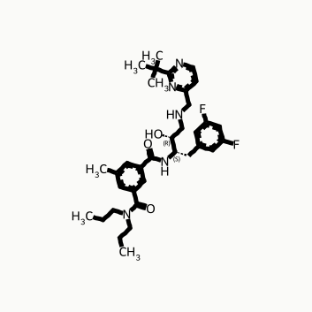 CCCN(CCC)C(=O)c1cc(C)cc(C(=O)N[C@@H](Cc2cc(F)cc(F)c2)[C@H](O)CNCc2ccnc(C(C)(C)C)n2)c1